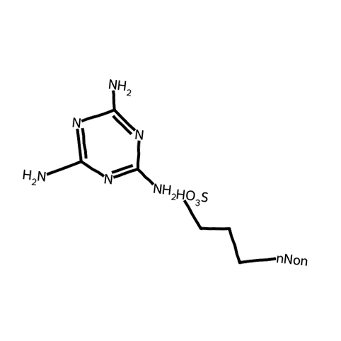 CCCCCCCCCCCCS(=O)(=O)O.Nc1nc(N)nc(N)n1